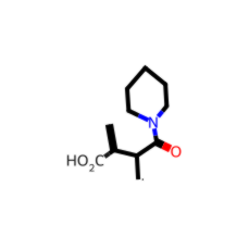 [CH2]C(C(=C)C(=O)O)C(=O)N1CCCCC1